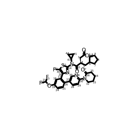 O=C(O)C[C@@H](CC1CCCC1)C(=O)N(c1nc(-c2cc(OC(F)F)ccc2-c2ccc(N3CCCCC3=O)nc2)c(F)s1)C1CC1